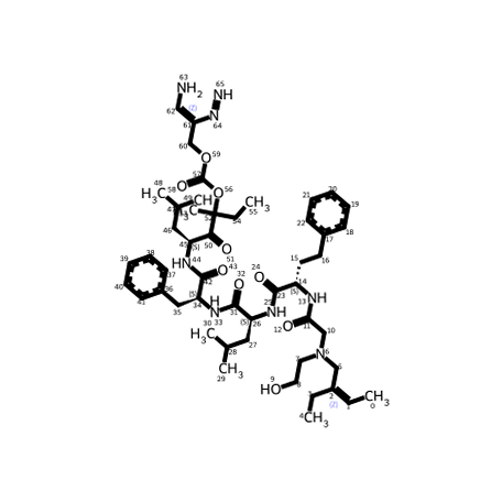 C/C=C(/CC)CN(CCO)CC(=O)N[C@@H](CCc1ccccc1)C(=O)N[C@@H](CC(C)C)C(=O)N[C@@H](Cc1ccccc1)C(=O)N[C@@H](CC(C)C)C(=O)C(C)(CC)OC(=O)OC/C(=C/N)N=N